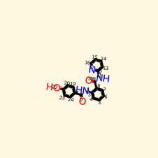 O=C(Nc1ccccc1C(=O)Nc1ccccn1)c1ccc(O)cc1